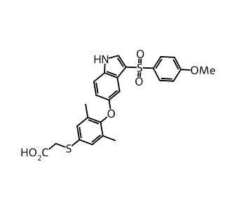 COc1ccc(S(=O)(=O)c2c[nH]c3ccc(Oc4c(C)cc(SCC(=O)O)cc4C)cc23)cc1